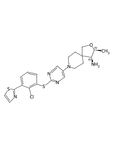 C[C@@H]1OCC2(CCN(c3cnc(Sc4cccc(-c5nccs5)c4Cl)nc3)CC2)[C@@H]1N